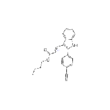 CCCCOC(=O)/C=C/c1c(-c2ccc(C#N)cc2)[nH]c2ccccc12